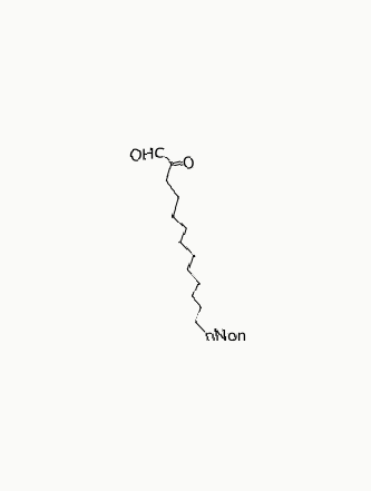 CCCCCCCCCCCCCCCCCCCCC(=O)C=O